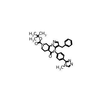 Cn1cnnc1-c1ccc(-n2c(=O)c3c(n4ncc(Cc5ccccc5)c24)CN(C(=O)OC(C)(C)C)CC3)cc1